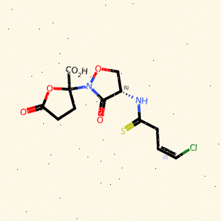 O=C1CCC(C(=O)O)(N2OC[C@H](NC(=S)C/C=C\Cl)C2=O)O1